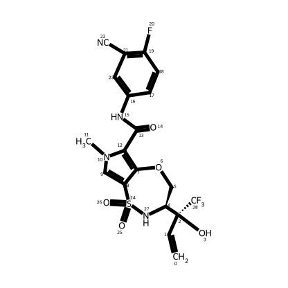 C=C[C@](O)([C@@H]1COc2c(cn(C)c2C(=O)Nc2ccc(F)c(C#N)c2)S(=O)(=O)N1)C(F)(F)F